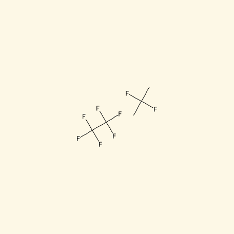 CC(C)(F)F.FC(F)(F)C(F)(F)F